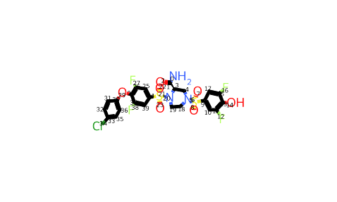 NC(=O)[C@H]1CN(S(=O)(=O)c2cc(F)c(O)c(F)c2)CCN1S(=O)(=O)c1cc(F)c(Oc2ccc(Cl)cc2)c(F)c1